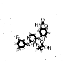 O=C(O)C(F)(F)F.O=c1[nH]c2cc(Nc3ccnc(Nc4cc(F)cc(F)c4)n3)ccc2o1